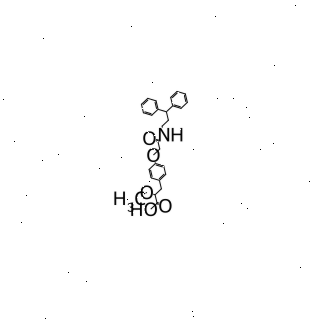 COC(Cc1ccc(OCC(=O)NCCC(c2ccccc2)c2ccccc2)cc1)C(=O)O